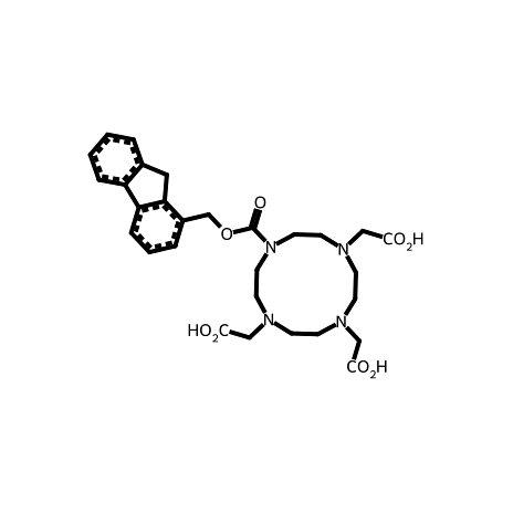 O=C(O)CN1CCN(CC(=O)O)CCN(C(=O)OCc2cccc3c2Cc2ccccc2-3)CCN(CC(=O)O)CC1